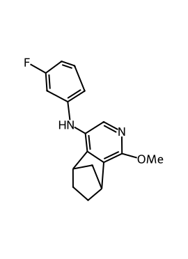 COc1ncc(Nc2cccc(F)c2)c2c1C1CCC2C1